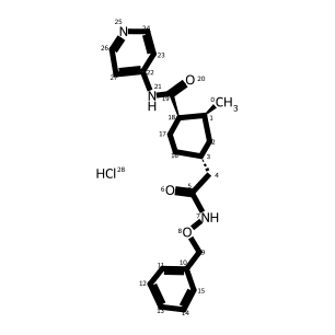 C[C@H]1C[C@H](CC(=O)NOCc2ccccc2)CC[C@H]1C(=O)Nc1ccncc1.Cl